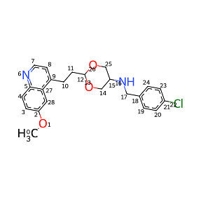 COc1ccc2nccc(CCC3OCC(NCc4ccc(Cl)cc4)CO3)c2c1